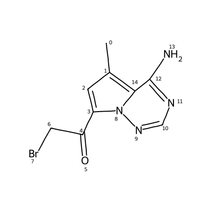 Cc1cc(C(=O)CBr)n2ncnc(N)c12